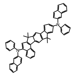 CC1(C)c2cc(N(c3ccccc3)c3ccc4ccccc4c3)ccc2-c2cc3c(cc21)-c1c(cc(N(c2ccccc2)c2ccc4ccccc4c2)c2ccccc12)C3(C)C